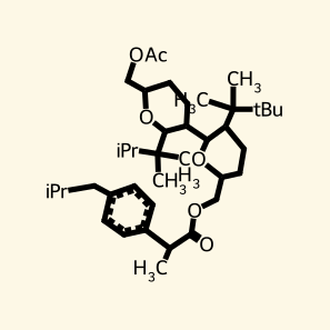 CC(=O)OCC1CCC(C2OC(COC(=O)C(C)c3ccc(CC(C)C)cc3)CCC2C(C)(C)C(C)(C)C)C(C(C)(C)C(C)C)O1